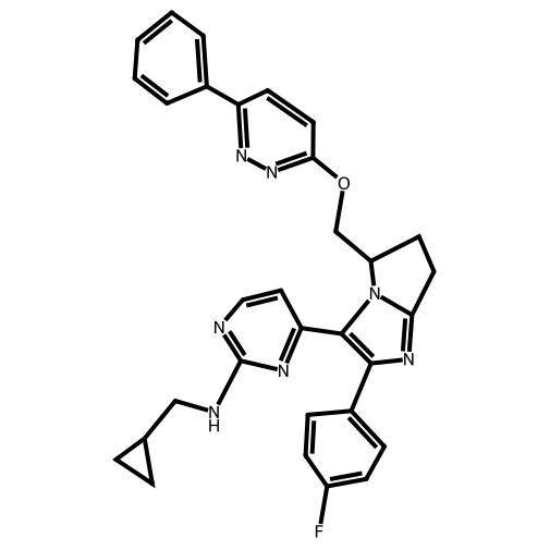 Fc1ccc(-c2nc3n(c2-c2ccnc(NCC4CC4)n2)C(COc2ccc(-c4ccccc4)nn2)CC3)cc1